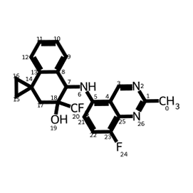 Cc1ncc2c(NC3c4ccccc4C4(CC4)CC3(O)C(F)(F)F)ccc(F)c2n1